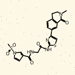 CN1CCc2ccc(-c3csc(NC(=O)CNC(=O)c4ccn(S(C)(=O)=O)c4)n3)cc2C1=O